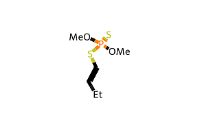 CCC=CSP(=S)(OC)OC